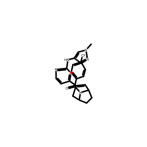 Cn1cc(Nc2nccc(C3=CC4CCC(C3)N4C(=O)c3ccc(C(F)(F)F)cc3)n2)cn1